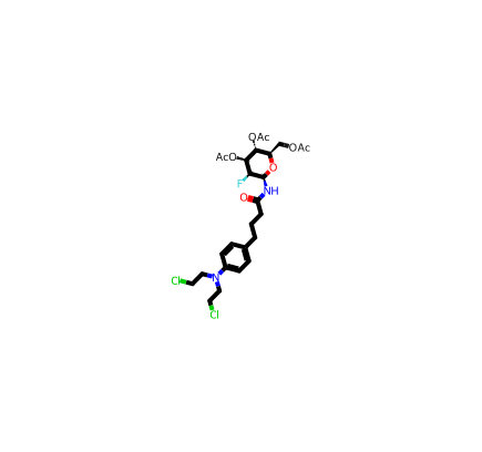 CC(=O)OC[C@H]1O[C@@H](NC(=O)CCCc2ccc(N(CCCl)CCCl)cc2)[C@@H](F)[C@@H](OC(C)=O)[C@@H]1OC(C)=O